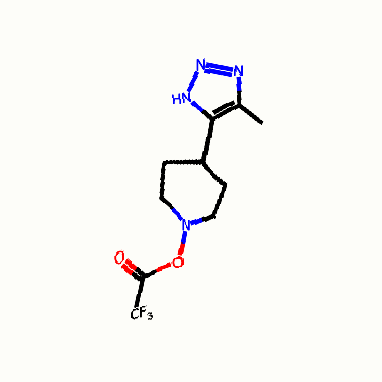 Cc1nn[nH]c1C1CCN(OC(=O)C(F)(F)F)CC1